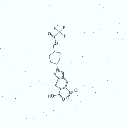 O=C(O)c1cc2nn(C3CCC(COC(=O)C(F)(F)F)CC3)cc2cc1[N+](=O)[O-]